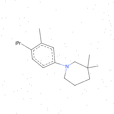 Cc1cc(N2CCCC(C)(C)C2)ccc1C(C)C